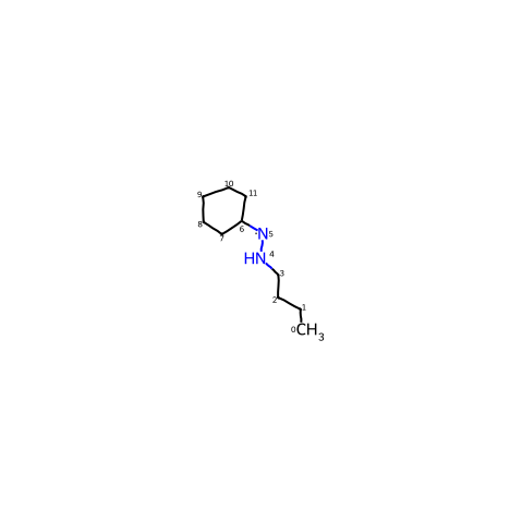 CCCCN[N]C1CCCCC1